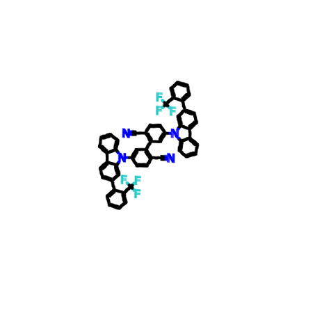 N#Cc1ccc(-n2c3ccccc3c3ccc(-c4ccccc4C(F)(F)F)cc32)cc1-c1cc(-n2c3ccccc3c3ccc(-c4ccccc4C(F)(F)F)cc32)ccc1C#N